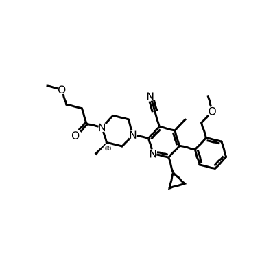 COCCC(=O)N1CCN(c2nc(C3CC3)c(-c3ccccc3COC)c(C)c2C#N)C[C@H]1C